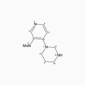 CNc1cnccc1N1CCCNC1